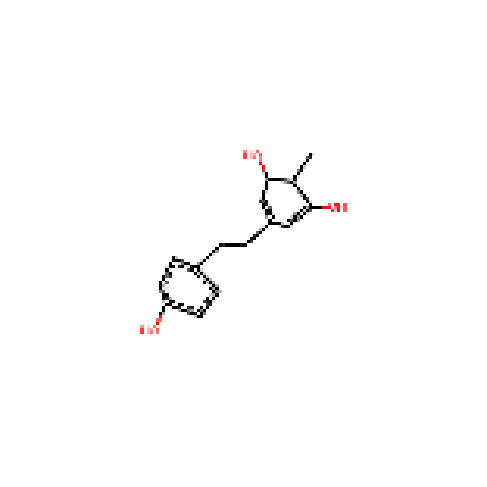 CC1C(O)=CC(CCc2ccc(O)cc2)=CC1O